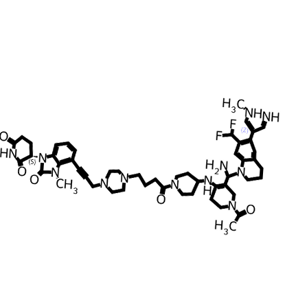 CN/C=C(\C=N)c1cc2c(cc1C(F)F)N(C(N)C1=C(NC3CCN(C(=O)CCCN4CCN(CC#Cc5cccc6c5n(C)c(=O)n6[C@H]5CCC(=O)NC5=O)CC4)CC3)CCN(C(C)=O)C1)CCC2